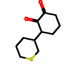 O=C1CCCC(C2CCCSC2)C1=O